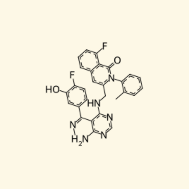 C/N=C(/c1ccc(F)c(O)c1)c1c(N)ncnc1NCc1cc2cccc(F)c2c(=O)n1-c1ccccc1C